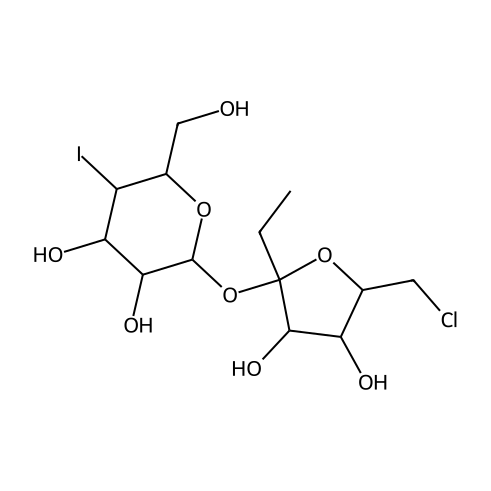 CCC1(OC2OC(CO)C(I)C(O)C2O)OC(CCl)C(O)C1O